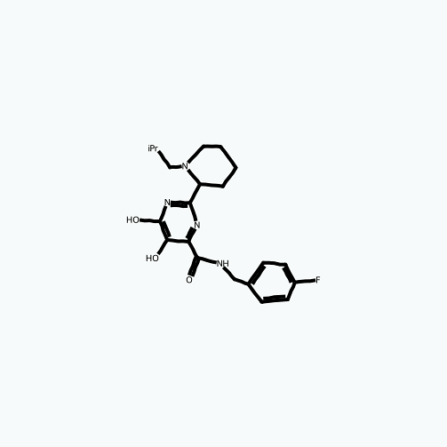 CC(C)CN1CCCCC1c1nc(O)c(O)c(C(=O)NCc2ccc(F)cc2)n1